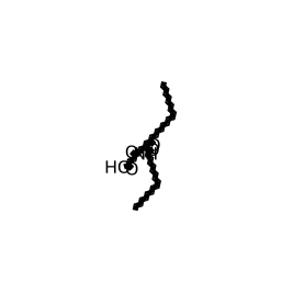 CCCCCCCC/C=C\CCCCCCCC(=O)CC(CNC(=O)CCC(=O)O)C(=O)CCCCCCC/C=C\CCCCCCCC